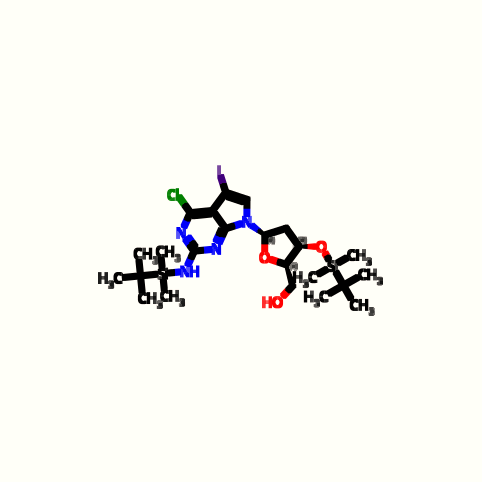 CC(C)(C)[Si](C)(C)Nc1nc(Cl)c2c(I)cn([C@H]3C[C@@H](O[Si](C)(C)C(C)(C)C)[C@@H](CO)O3)c2n1